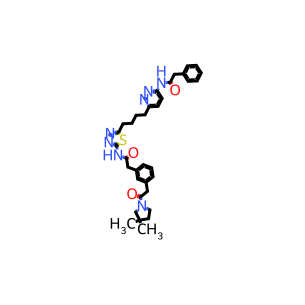 CC1(C)CCN(C(=O)Cc2cccc(CC(=O)Nc3nnc(CCCCc4ccc(NC(=O)Cc5ccccc5)nn4)s3)c2)C1